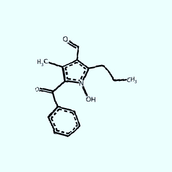 CCCc1c(C=O)c(C)c(C(=O)c2ccccc2)n1O